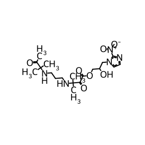 CC(=O)C(C)(C)NCCCNC(C)(C)C(=O)C(=O)OCC(O)Cn1ccnc1[N+](=O)[O-]